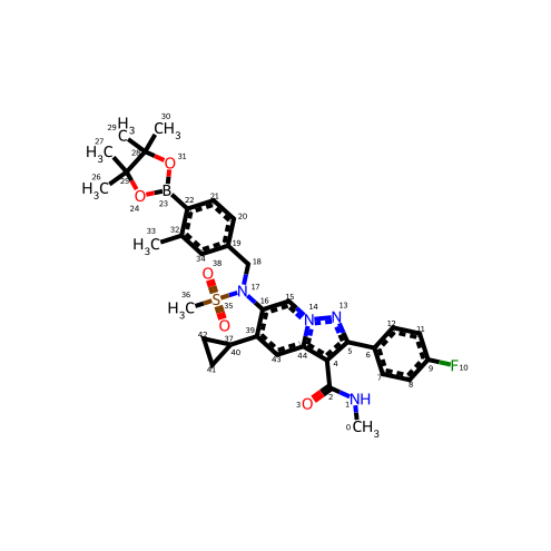 CNC(=O)c1c(-c2ccc(F)cc2)nn2cc(N(Cc3ccc(B4OC(C)(C)C(C)(C)O4)c(C)c3)S(C)(=O)=O)c(C3CC3)cc12